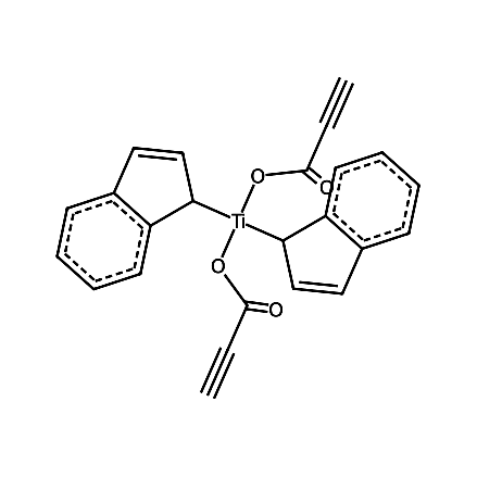 C#CC(=O)[O][Ti]([O]C(=O)C#C)([CH]1C=Cc2ccccc21)[CH]1C=Cc2ccccc21